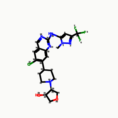 Cn1nc(C(F)(F)F)cc1Nc1ncc2cc(Cl)c(C3CCN([C@H]4COC[C@H]4O)CC3)cc2n1